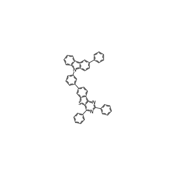 c1ccc(-c2ccc3c(c2)c2ccccc2n3-c2cccc(-c3ccc4c(c3)sc3c(-c5ccccc5)nc(-c5ccccc5)nc34)c2)cc1